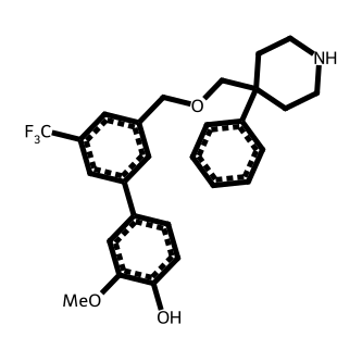 COc1cc(-c2cc(COCC3(c4ccccc4)CCNCC3)cc(C(F)(F)F)c2)ccc1O